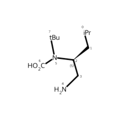 CC(C)C[C@@H](CN)N(C(=O)O)C(C)(C)C